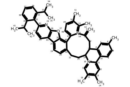 C=C1CC2c3cc(C)ccc3-c3cc(C)c(C)c[n+]3C2CCc2ccc3c(oc4nc(-c5c(C(C)C)cccc5C(C)C)ccc43)c2-c2ccc(C)c(C)[n+]21